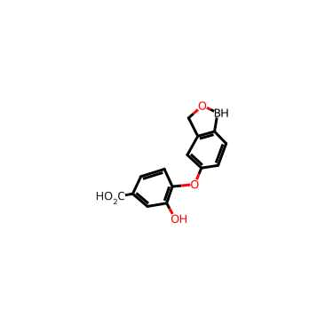 O=C(O)c1ccc(Oc2ccc3c(c2)COB3)c(O)c1